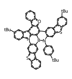 CC(C)(C)c1ccc(N2B3c4cc5c(cc4-n4c6ccc(C(C)(C)C)cc6c6c7c(oc8ccccc87)c(c3c64)-c3cc4c(cc32)sc2ccc(C(C)(C)C)cc24)sc2ccccc25)cc1